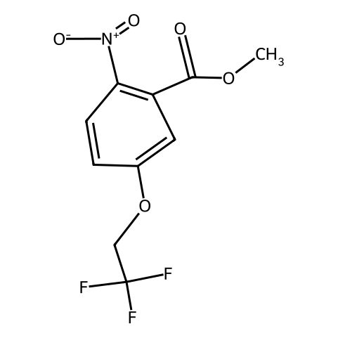 COC(=O)c1cc(OCC(F)(F)F)ccc1[N+](=O)[O-]